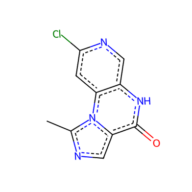 Cc1ncc2c(=O)[nH]c3cnc(Cl)cc3n12